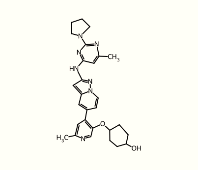 Cc1cc(-c2ccn3nc(Nc4cc(C)nc(N5CCCC5)n4)cc3c2)c(OC2CCC(O)CC2)cn1